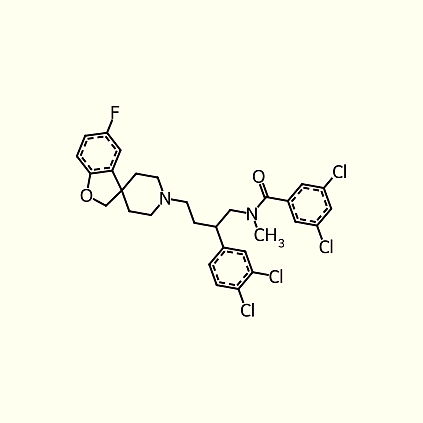 CN(CC(CCN1CCC2(CC1)COc1ccc(F)cc12)c1ccc(Cl)c(Cl)c1)C(=O)c1cc(Cl)cc(Cl)c1